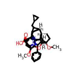 COc1ccc2c3c1O[C@H]1[C@@]4(OC)CC[C@@]5(C[C@@H]4C(NCC(=O)O)c4ccccc4)[C@@H](C2)C(CC2CC2)CC[C@]315